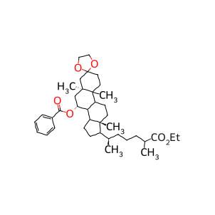 CCOC(=O)C(C)CCC[C@@H](C)C1CCC2C3C(CC[C@@]21C)C1(C)CCC2(C[C@]1(C)C[C@H]3OC(=O)c1ccccc1)OCCO2